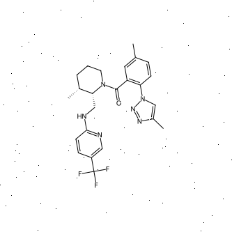 Cc1ccc(-n2cc(C)nn2)c(C(=O)N2CCC[C@@H](C)[C@H]2CNc2ccc(C(F)(F)F)cn2)c1